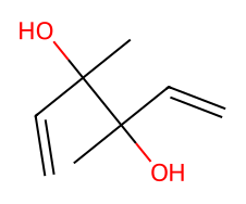 C=CC(C)(O)C(C)(O)C=C